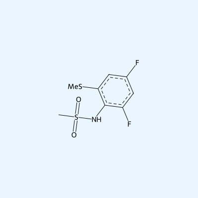 CSc1cc(F)cc(F)c1NS(C)(=O)=O